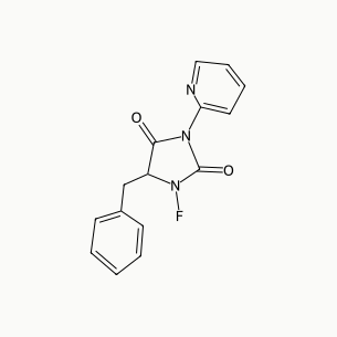 O=C1C(Cc2ccccc2)N(F)C(=O)N1c1ccccn1